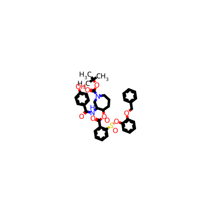 CC(C)(C)OC(=O)N1CCCC(OC(=O)c2ccccc2S(=O)(=O)Oc2ccccc2OCc2ccccc2)C(NC(=O)c2ccc(O)cc2)C1